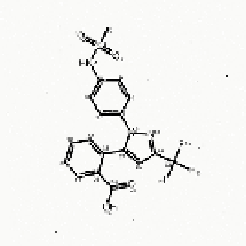 CS(=O)(=O)Nc1ccc(-n2nc(C(F)(F)F)cc2-c2ccccc2C(=O)O)cc1